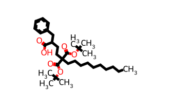 CCCCCCCCCCC(CCC(Cc1ccccc1)C(=O)O)(C(=O)OC(C)(C)C)C(=O)OC(C)(C)C